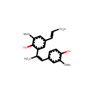 COc1cc(/C=C(/C(=O)O)c2cc(/C=C/C(=O)O)cc(OC)c2O)ccc1O